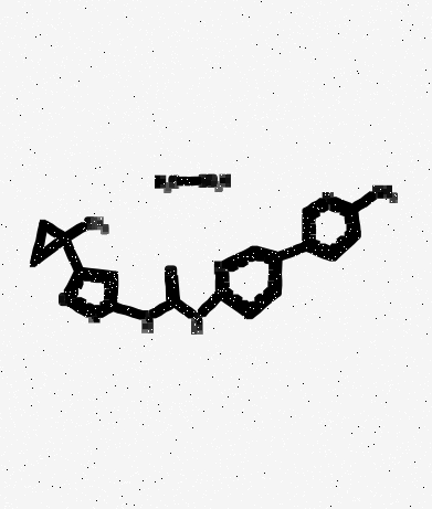 CC1(c2cc(NC(=O)Nc3ccc(-c4ccc(N)nc4)cn3)no2)CC1.CS(=O)(=O)O